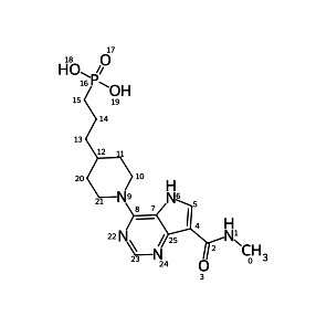 CNC(=O)c1c[nH]c2c(N3CCC(CCCP(=O)(O)O)CC3)ncnc12